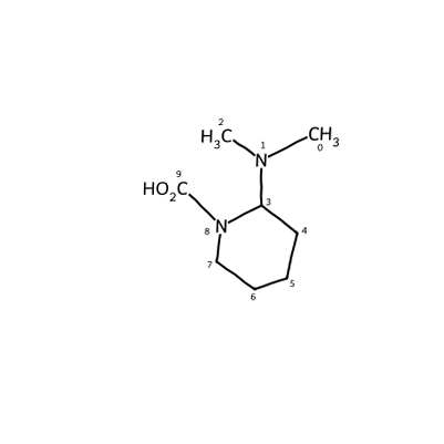 CN(C)C1CCCCN1C(=O)O